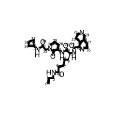 C=CCNC(=O)/C=C/CC[C@H](NC(=O)c1nccc2cnccc12)C(=O)Nc1cccn(CC(=O)NC23CC(C2)C3)c1=O